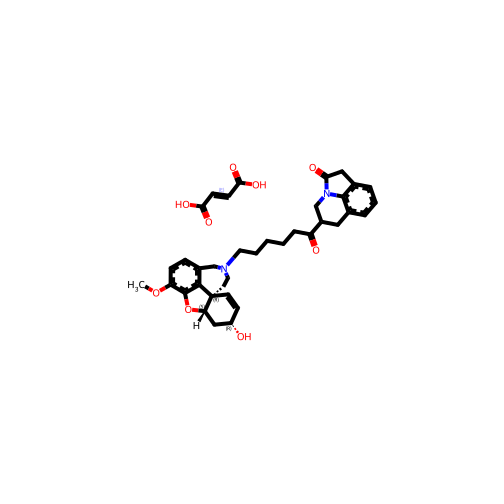 COc1ccc2c3c1O[C@H]1C[C@@H](O)C=C[C@]31CCN(CCCCCC(=O)C1Cc3cccc4c3N(C1)C(=O)C4)C2.O=C(O)/C=C/C(=O)O